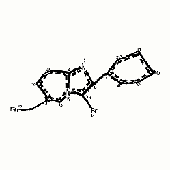 Brc1ccc2nc(-c3ccccc3)c(Br)n2c1